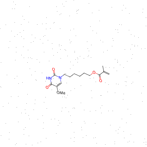 C=C(C)C(=O)OCCCCCCn1cc(OC)c(=O)[nH]c1=O